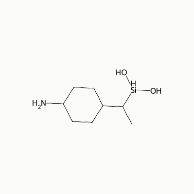 CC(C1CCC(N)CC1)[SiH](O)O